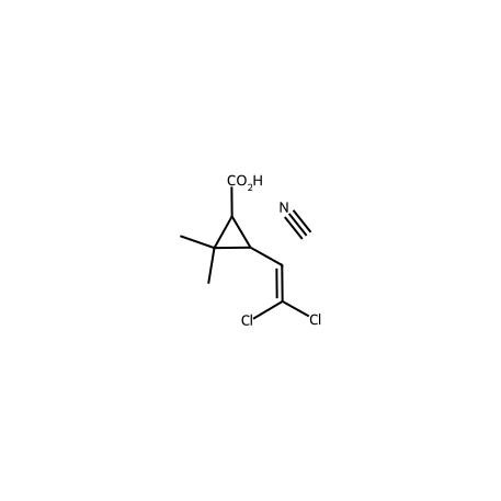 C#N.CC1(C)C(C=C(Cl)Cl)C1C(=O)O